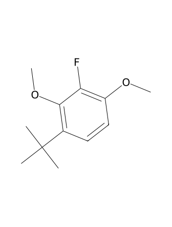 COc1ccc(C(C)(C)C)c(OC)c1F